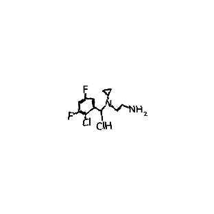 CC(c1cc(F)cc(F)c1Cl)N(CCN)C1CC1.Cl